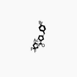 CC(=O)[C@H]1CC(F)(F)CN1C(=O)[C@H]1CC[C@H](Cc2ccc(Br)cc2)C1